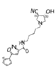 N#C[C@@H]1CN(CCCCCNC(=O)c2cc(-c3cccs3)on2)C[C@H]1O